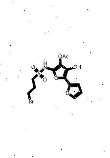 CC(=O)Oc1c(NS(=O)(=O)CCCBr)oc(-c2ccco2)c1O